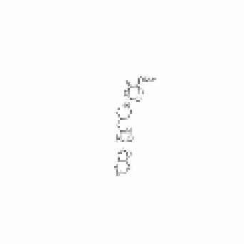 C=C(OC(=O)N1CCC(Cc2noc(-c3cc4cnccc4o3)n2)CC1)C(=O)OC